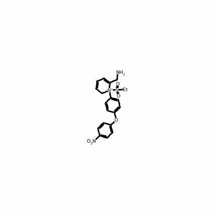 CCS(=O)(=O)[N+]1(c2ccc(Oc3ccc([N+](=O)[O-])cc3)cc2)CC=CC=C1CN